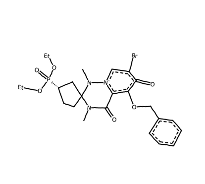 CCOP(=O)(OCC)[C@H]1CCC2(C1)N(C)C(=O)c1c(OCc3ccccc3)c(=O)c(Br)cn1N2C